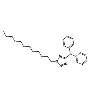 CCCCCCCCCCCCn1nnc(C(c2ccccc2)c2ccccc2)n1